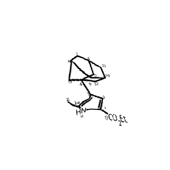 CCOC(=O)c1cc(C23CC4CC(CC(C4)C2)C3)c(C)[nH]1